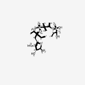 B[C@@H]1O[C@H](CC(CC)(CC)OP(B)(=O)C(C)(C)C(C)OP(=O)(O)[C@@](C)(O)CC)[C@@H](O)[C@H]1O